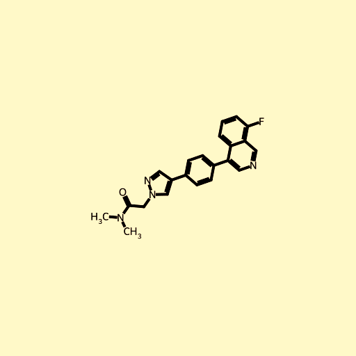 CN(C)C(=O)Cn1cc(-c2ccc(-c3cncc4c(F)cccc34)cc2)cn1